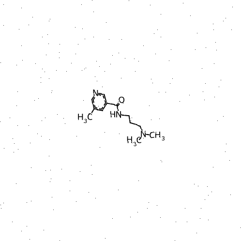 Cc1cncc(C(=O)NCCCN(C)C)c1